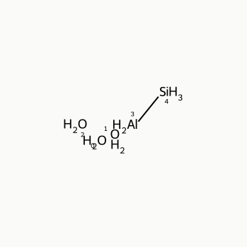 O.O.O.[AlH2][SiH3]